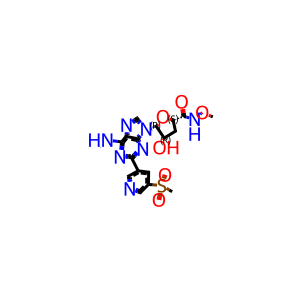 CNc1nc(-c2cncc(S(C)(=O)=O)c2)nc2c1ncn2[C@@H]1O[C@H](C(=O)NOC)C[C@H]1O